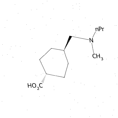 CCCN(C)C[C@H]1CC[C@H](C(=O)O)CC1